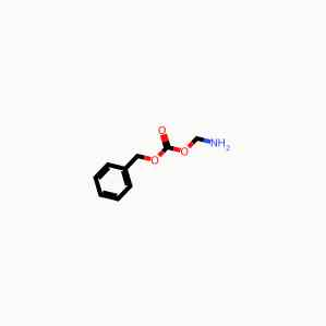 NCOC(=O)OCc1ccccc1